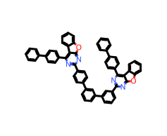 c1ccc(-c2ccc(-c3nc(-c4ccc(-c5cccc(-c6cccc(-c7nc(-c8ccc(-c9ccccc9)cc8)c8c(n7)oc7ccccc78)c6)c5)cc4)nc4oc5ccccc5c34)cc2)cc1